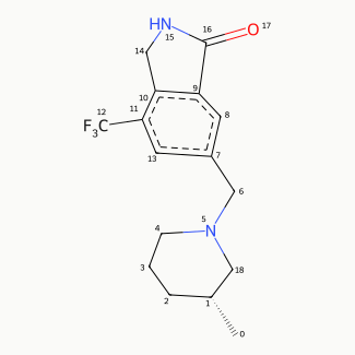 C[C@@H]1CCCN(Cc2cc3c(c(C(F)(F)F)c2)CNC3=O)C1